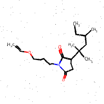 C=COCCCN1C(=O)CC(C(C)(C)CC(C)CC)C1=O